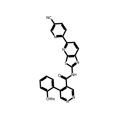 COc1ccccc1-c1cnncc1C(=O)Nc1nc2ccc(-c3ccc(C#N)cn3)nc2s1